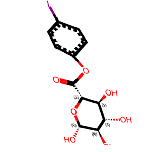 O=C(Oc1ccc(I)cc1)[C@H]1O[C@@H](O)[C@H](O)[C@@H](O)[C@@H]1O